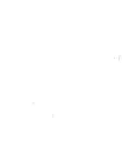 C/C=C\C(=C\F)c1cc(C(F)(F)F)ccc1F